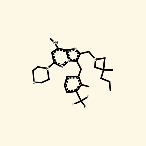 CCCC1(C)CN(Cc2nc3c(NC)cc(N4CCOCC4)nn3c2Cc2cccc(C(F)(F)F)c2C)C1